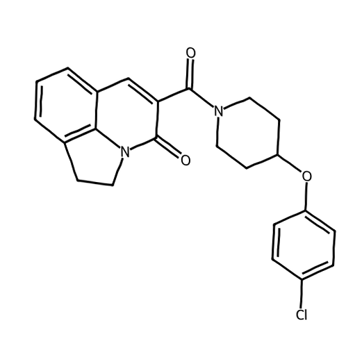 O=C(c1cc2cccc3c2n(c1=O)CC3)N1CCC(Oc2ccc(Cl)cc2)CC1